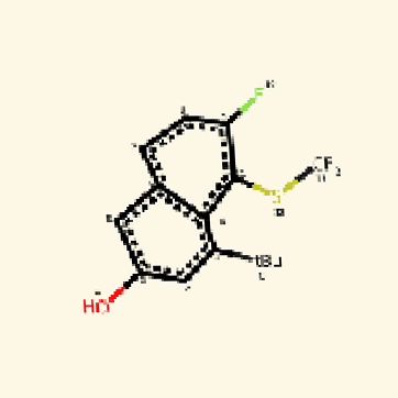 CC(C)(C)c1cc(O)cc2ccc(F)c(SC(F)(F)F)c12